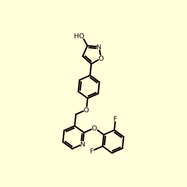 Oc1cc(-c2ccc(OCc3cccnc3Oc3c(F)cccc3F)cc2)on1